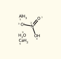 O.O=[N+]([O-])O.[AlH3].[CaH2]